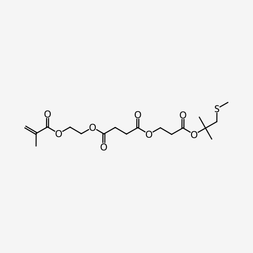 C=C(C)C(=O)OCCOC(=O)CCC(=O)OCCC(=O)OC(C)(C)CSC